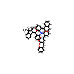 CC1(C)c2ccccc2-c2c(-c3ccccc3N(c3ccccc3-c3ccc4c(c3)Cc3ccccc3O4)c3ccccc3-c3cccc4ccccc34)cccc21